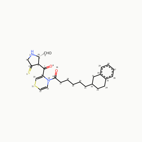 O=C[C@H]1NCC(=S)C1C(=O)C1=CSC=CN1C(=O)CCCCCC1CCc2ccccc2C1